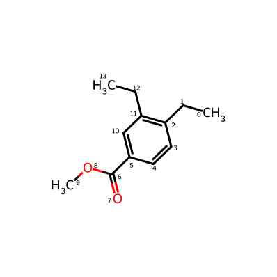 CCc1ccc(C(=O)OC)cc1CC